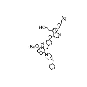 CC(C)(C)OC(=O)N[C@@H](Cc1ccc(Oc2ccnc3c2c(CCO)cn3COCC[Si](C)(C)C)cc1)C(=O)N1CCN(Cc2ccccc2)CC1